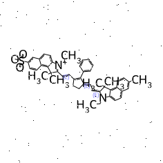 CCN1/C(=C/C=C2\CCC(/C=C/C3=[N+](CC)c4ccc5cc(S(=O)(=O)[O-])ccc5c4C3(C)C)=C2c2ccccc2)C(C)(C)c2c1ccc1cc(C)ccc21